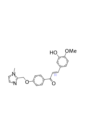 COc1ccc(/C=C/C(=O)c2ccc(OCc3nccn3C)cc2)cc1O